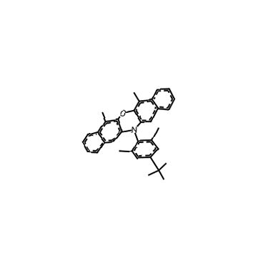 Cc1cc(C(C)(C)C)cc(C)c1N1c2cc3ccccc3c(C)c2Oc2c1cc1ccccc1c2C